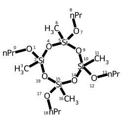 CCCO[Si]1(C)O[Si](C)(OCCC)O[Si](C)(OCCC)O[Si](C)(OCCC)O1